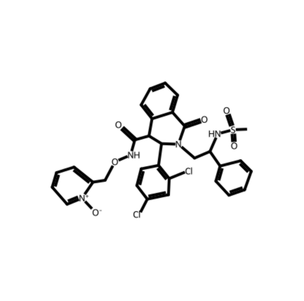 CS(=O)(=O)NC(CN1C(=O)c2ccccc2C(C(=O)NOCc2cccc[n+]2[O-])C1c1ccc(Cl)cc1Cl)c1ccccc1